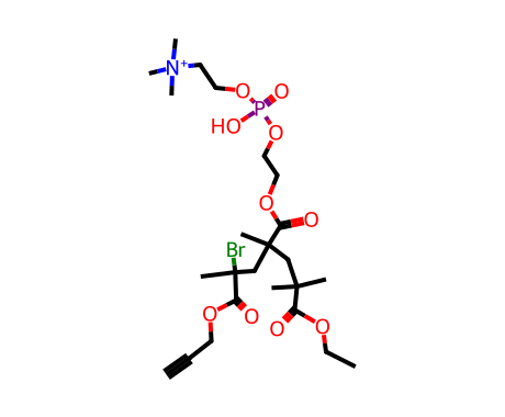 C#CCOC(=O)C(C)(Br)CC(C)(CC(C)(C)C(=O)OCC)C(=O)OCCOP(=O)(O)OCC[N+](C)(C)C